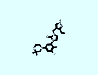 CCc1n[nH]cc1Cn1ccn(-c2cc(N3CCOC(C)(C)C3)cc(Br)c2F)c1=O